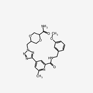 COc1cccc(CNC(=O)c2cc(-c3nnn(CC4COC(C(N)=O)CO4)n3)cc(C)n2)c1